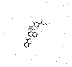 CCCC(=O)N1C[C@H](C)C(NS(=O)(=O)c2ccc(NC(=O)c3ccccc3C)c3ccccc23)[C@@H](C)C1